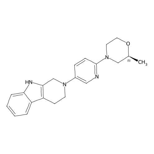 C[C@H]1CN(c2ccc(N3CCc4c([nH]c5ccccc45)C3)cn2)CCO1